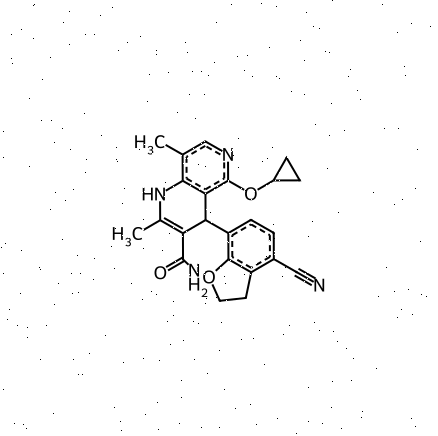 CC1=C(C(N)=O)C(c2ccc(C#N)c3c2OCC3)c2c(OC3CC3)ncc(C)c2N1